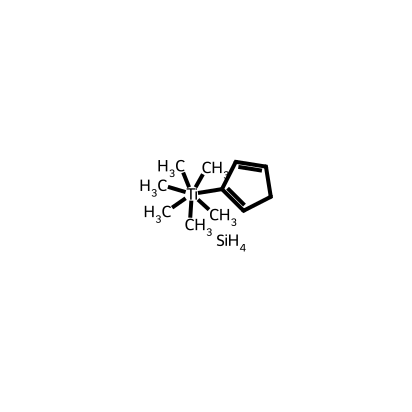 [CH3][Ti]([CH3])([CH3])([CH3])([CH3])([CH3])[C]1=CCC=C1.[SiH4]